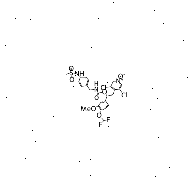 COc1cc([C@H](Cc2c(Cl)c[n+]([O-])cc2Cl)OC(=O)NCc2ccc(NS(C)(=O)=O)cc2)ccc1OC(F)F